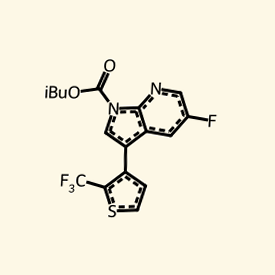 CC(C)COC(=O)n1cc(-c2ccsc2C(F)(F)F)c2cc(F)cnc21